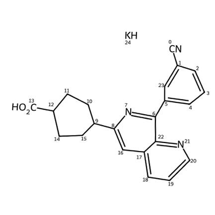 N#Cc1cccc(-c2nc(C3CCC(C(=O)O)CC3)cc3cccnc23)c1.[KH]